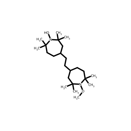 CON1C(C)(C)CCC(CCC2CCC(C)(C)N(O)C(C)(C)C2)CC1(C)C